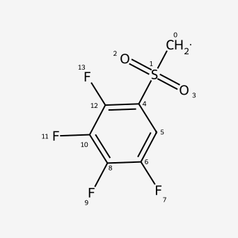 [CH2]S(=O)(=O)c1cc(F)c(F)c(F)c1F